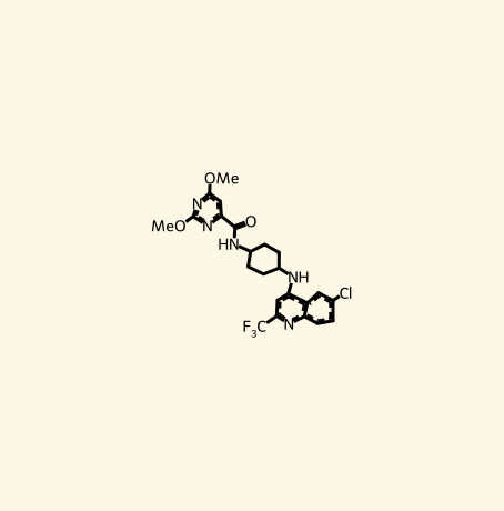 COc1cc(C(=O)NC2CCC(Nc3cc(C(F)(F)F)nc4ccc(Cl)cc34)CC2)nc(OC)n1